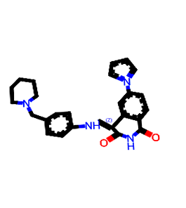 O=C1NC(=O)c2ccc(-n3cccc3)cc2/C1=C/Nc1ccc(CN2CCCCC2)cc1